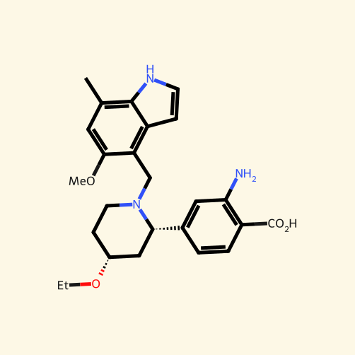 CCO[C@@H]1CCN(Cc2c(OC)cc(C)c3[nH]ccc23)[C@H](c2ccc(C(=O)O)c(N)c2)C1